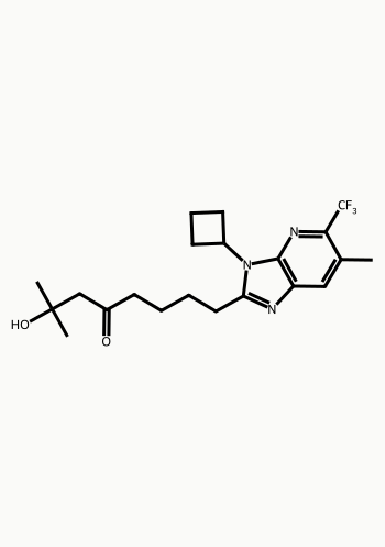 Cc1cc2nc(CCCCC(=O)CC(C)(C)O)n(C3CCC3)c2nc1C(F)(F)F